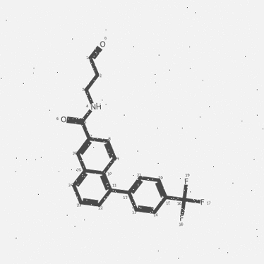 O=CCCNC(=O)c1ccc2c(-c3ccc(C(F)(F)F)cc3)cccc2c1